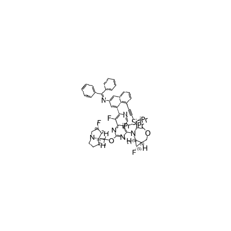 [2H]C([2H])(Oc1nc(N2CCOC[C@H]3[C@H](F)[C@H]32)c2cnc(-c3cc(N=C(c4ccccc4)c4ccccc4)cc4cccc(C#C[Si](C(C)C)(C(C)C)C(C)C)c34)c(F)c2n1)[C@@]12CCCN1C[C@H](F)C2